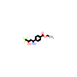 CCOC(=O)c1ccc(C(=N)/C=C(\O)C(F)(F)F)cc1